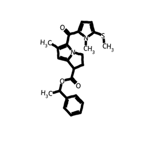 CSc1ccc(C(=O)c2c(C)cc3n2CCC3C(=O)OC(C)c2ccccc2)n1C